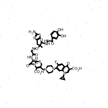 CC(Cc1csc(N)n1)(O/N=C\C(=O)N[C@@H]1C(=O)N2C(C(=O)O)=C(CN3CCN(c4cc5c(cc4F)c(=O)c(C(=O)O)cn5C4CC4)CC3)CS[C@H]12)C(=O)NNC(=O)c1ccc(O)c(O)c1